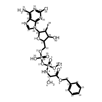 CCOP(=O)(N[C@@H](C)C(=O)OCc1ccccc1)OP(=O)(O)OCC1OC(n2cnc3c(N)nc(Cl)nc32)C(F)C1O